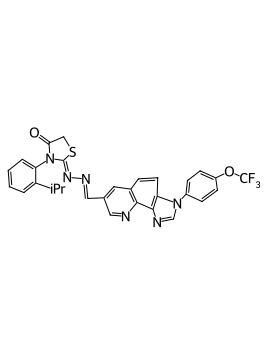 CC(C)c1ccccc1N1C(=O)CSC1=NN=Cc1cnc2c(ccc3c2ncn3-c2ccc(OC(F)(F)F)cc2)c1